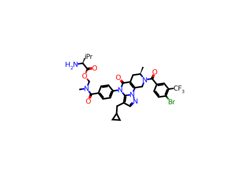 CC(C)[C@H](N)C(=O)OCN(C)C(=O)c1ccc(-n2c(=O)c3c(n4ncc(CC5CC5)c24)CN(C(=O)c2ccc(Br)c(C(F)(F)F)c2)[C@H](C)C3)cc1